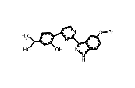 CC(C)Oc1ccc2[nH]nc(-c3nccc(-c4ccc(C(C)O)cc4O)n3)c2c1